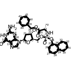 C[C@H](NP(=O)(OC[C@H]1O[C@@H](n2cnc3c(=O)[nH]c(N)nc32)C[C@@H]1O)Oc1cccc2ccccc12)C(=O)OCc1ccccc1